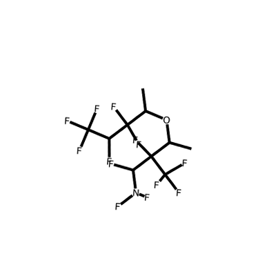 CC(OC(C)C(F)(C(F)N(F)F)C(F)(F)F)C(F)(F)C(F)C(F)(F)F